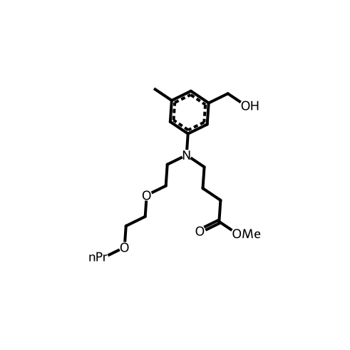 CCCOCCOCCN(CCCC(=O)OC)c1cc(C)cc(CO)c1